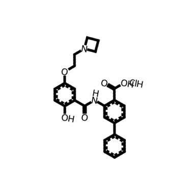 Cl.O=C(Nc1cc(-c2ccccc2)ccc1C(=O)O)c1cc(OCCN2CCC2)ccc1O